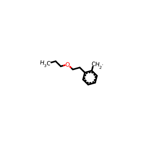 [CH2]c1ccccc1CCOCCC